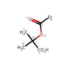 CCC(=O)OC(C)(C)C(=O)O